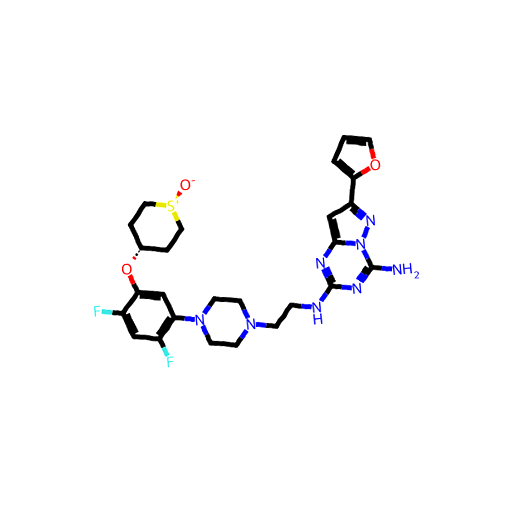 Nc1nc(NCCN2CCN(c3cc(O[C@H]4CC[S@+]([O-])CC4)c(F)cc3F)CC2)nc2cc(-c3ccco3)nn12